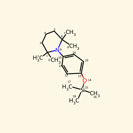 CC1(C)CCCC(C)(C)N1c1ccc(O[Si](C)(C)C)cc1